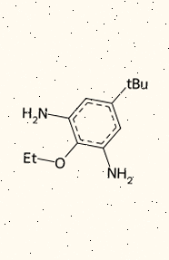 CCOc1c(N)cc(C(C)(C)C)cc1N